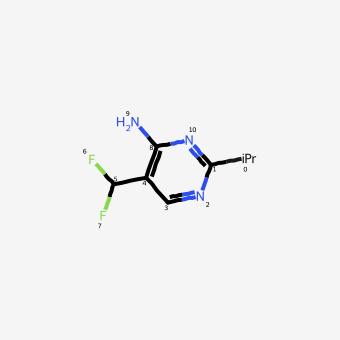 CC(C)c1ncc(C(F)F)c(N)n1